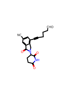 N#Cc1cc(C#CCCCC=O)c2c(c1)C(=O)N(C1CCC(=O)NC1=O)C2